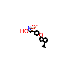 [O-][s+]1nc(O)cc1-c1ccc(O[C@@H]2CCc3c(C4CC4)cccc32)cc1